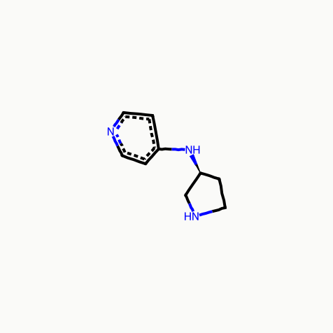 c1cc(N[C@H]2CCNC2)ccn1